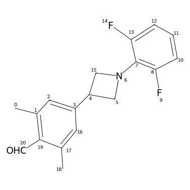 Cc1cc(C2CN(c3c(F)cccc3F)C2)cc(C)c1C=O